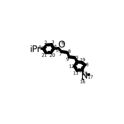 CC(C)c1ccc(C(=O)/C=C/C=C/c2ccc(N(C)C)cc2)cc1